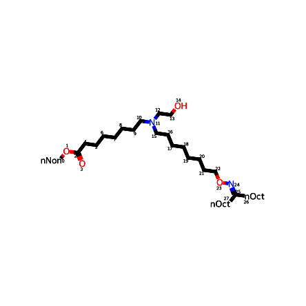 CCCCCCCCCOC(=O)CCCCCCCN(CCO)CCCCCCCCON=C(CCCCCCCC)CCCCCCCC